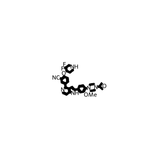 COc1cc(-c2cc3c(-c4ccc(OC5CCNCC5(F)F)c(C#N)c4)nccc3[nH]2)ccc1N1CCN(C2COC2)CC1